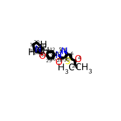 CC(C)C(=O)c1cc2ncn(-c3ccc(OC4C[C@H]5CC[C@@H](C4)N5C)cc3)c(=O)c2s1